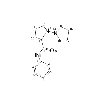 O=C(Nc1ccccc1)C1CCCN1N1CCCC1